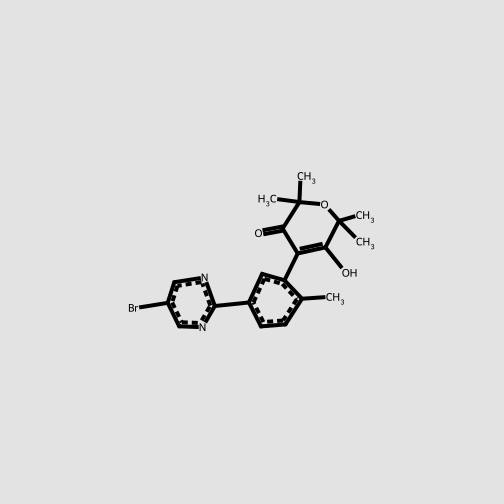 Cc1ccc(-c2ncc(Br)cn2)cc1C1=C(O)C(C)(C)OC(C)(C)C1=O